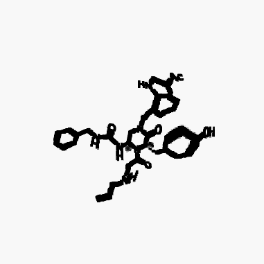 C=CCNCC(=O)N1[C@@H](NC(=O)NCc2ccccc2)CN(Cc2cccc3c(C(C)=O)c[nH]c23)C(=O)[C@@H]1Cc1ccc(O)cc1